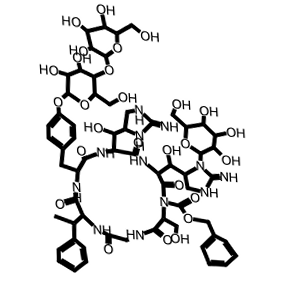 CC(c1ccccc1)C1NC(=O)CNC(=O)C(CO)N(C(=O)OCc2ccccc2)C(=O)C(C(O)C2CNC(=N)N2C2OC(CO)C(O)C(O)C2O)NC(=O)C(C(O)C2CNC(=N)N2)NC(=O)C(Cc2ccc(OC3OC(CO)C(OC4OC(CO)C(O)C(O)C4O)C(O)C3O)cc2)NC1=O